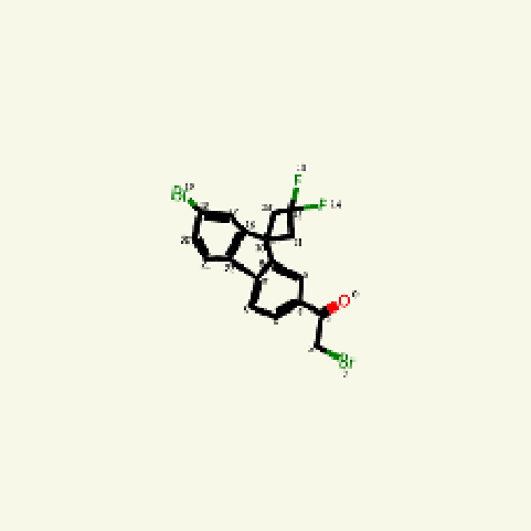 O=C(CBr)c1ccc2c(c1)C1(CC(F)(F)C1)c1cc(Br)ccc1-2